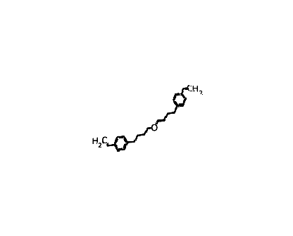 C=Cc1ccc(CCCCOCCCCc2ccc(C=C)cc2)cc1